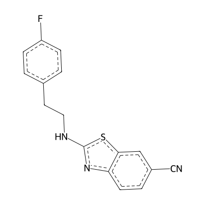 N#Cc1ccc2nc(NCCc3ccc(F)cc3)sc2c1